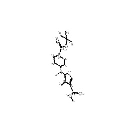 COC(=O)c1csc(C(C)C2CCN(C(=O)OC(C)(C)C)CC2)c1C